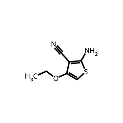 CCOc1csc(N)c1C#N